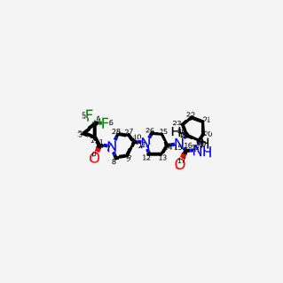 O=C(C1CC1(F)F)N1CCC(N2CCC(N3C(=O)N[C@H]4CCCC[C@@H]43)CC2)CC1